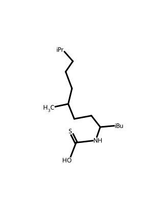 CCC(C)C(CCC(C)CCCC(C)C)NC(O)=S